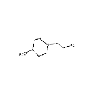 CC(=O)CCN1CCC(OC(C)=O)CC1